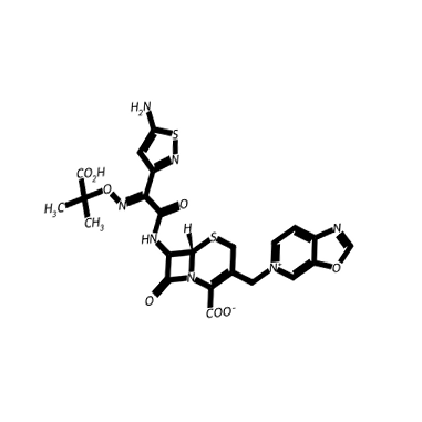 CC(C)(ON=C(C(=O)NC1C(=O)N2C(C(=O)[O-])=C(C[n+]3ccc4ncoc4c3)CS[C@@H]12)c1cc(N)sn1)C(=O)O